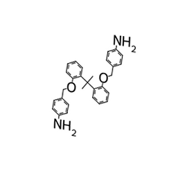 CC(C)(c1ccccc1OCc1ccc(N)cc1)c1ccccc1OCc1ccc(N)cc1